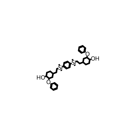 C[Si](C)(CCC1CCC(O)C(Oc2ccccc2)C1)c1ccc([Si](C)(C)CCC2CCC(O)C(Oc3ccccc3)C2)cc1